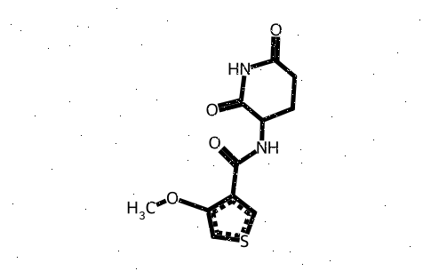 COc1cscc1C(=O)NC1CCC(=O)NC1=O